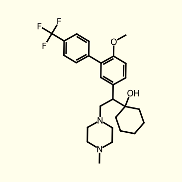 COc1ccc(C(CN2CCN(C)CC2)C2(O)CCCCC2)cc1-c1ccc(C(F)(F)F)cc1